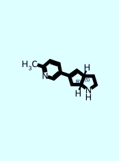 Cc1ccc(C2=C[C@@H]3CCN[C@@H]3C2)cn1